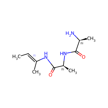 C/C=C(\C)NC(=O)[C@H](C)NC(=O)[C@H](C)N